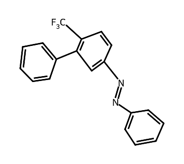 FC(F)(F)c1ccc(N=Nc2ccccc2)cc1-c1ccccc1